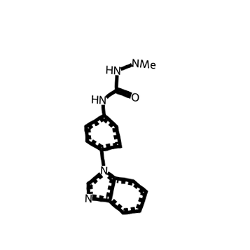 CNNC(=O)Nc1ccc(-n2cnc3ccccc32)cc1